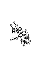 CC#Cc1c2c3c(cccc3n1NC(=O)N(CC)CC)[C@H]1CCCN(C)[C@@H]1C2